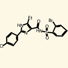 CCc1[nH]c(-c2ccc(Cl)cc2)nc1C(=O)NS(=O)(=O)c1ccccc1Br